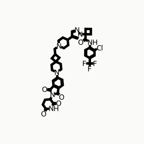 O=C1CCC(N2C(=O)c3ccc(N4CCC5(CC4)CC(CN4CCC(c6cnn(C7(C(=O)Nc8ccc(C(F)(F)F)cc8Cl)CCC7)c6)CC4)C5)cc3C2=O)C(=O)N1